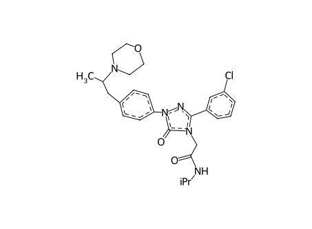 CC(C)NC(=O)Cn1c(-c2cccc(Cl)c2)nn(-c2ccc(CC(C)N3CCOCC3)cc2)c1=O